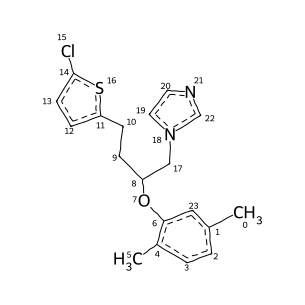 Cc1ccc(C)c(OC(CCc2ccc(Cl)s2)Cn2ccnc2)c1